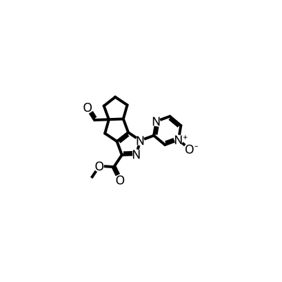 COC(=O)c1nn(-c2c[n+]([O-])ccn2)c2c1CC1(C=O)CCCC21